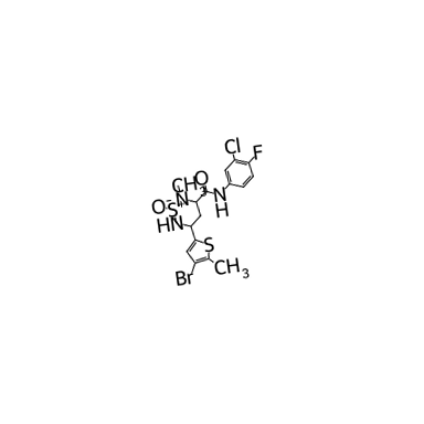 Cc1sc(C2CC(C(=O)Nc3ccc(F)c(Cl)c3)N(C)[S+]([O-])N2)cc1Br